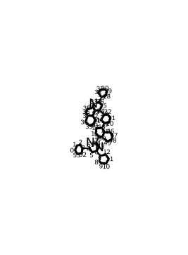 c1ccc(-c2cc(-c3ccccc3)nc(-c3ccc(-c4cccc(-c5cc(-c6ccccc6)nc6ccc7ccccc7c56)c4)c4ccccc34)n2)cc1